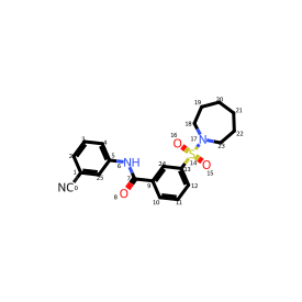 N#Cc1cccc(NC(=O)c2cccc(S(=O)(=O)N3CCCCCC3)c2)c1